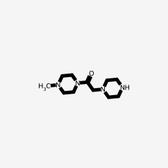 CN1CCN(C(=O)CN2CCNCC2)CC1